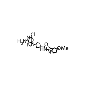 COc1ccc2nc(NC(=O)C3CCC(n4cnc5c(N)nc(Cl)nc54)CC3)sc2c1